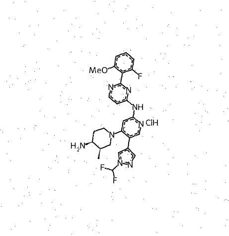 COc1cccc(F)c1-c1nccc(Nc2cc(N3CC[C@H](N)[C@H](C)C3)c(-c3cnn(C(F)F)c3)cn2)n1.Cl